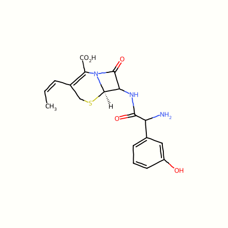 C/C=C\C1=C(C(=O)O)N2C(=O)C(NC(=O)C(N)c3cccc(O)c3)[C@H]2SC1